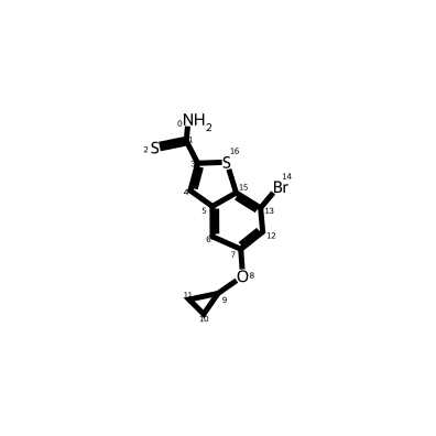 NC(=S)c1cc2cc(OC3CC3)cc(Br)c2s1